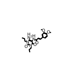 CCCn1c(N)c(NC(=O)C=Cc2ccc(OC)c(OC)c2)c(=O)n(CCC)c1=O